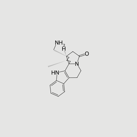 C[C@H]1CC23c4[nH]c5ccccc5c4CCN2C(=O)C[C@H]3[C@@H]1CN